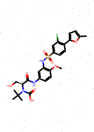 COc1ccc(NC(=O)[C@H](CO)N(C(=O)O)C(C)(C)C)cc1NS(=O)(=O)c1ccc(-c2ccc(C)o2)c(F)c1